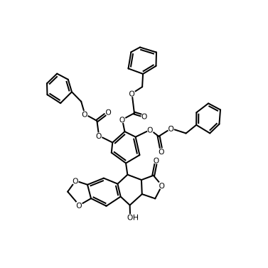 O=C(OCc1ccccc1)Oc1cc(C2c3cc4c(cc3C(O)C3COC(=O)C23)OCO4)cc(OC(=O)OCc2ccccc2)c1OC(=O)OCc1ccccc1